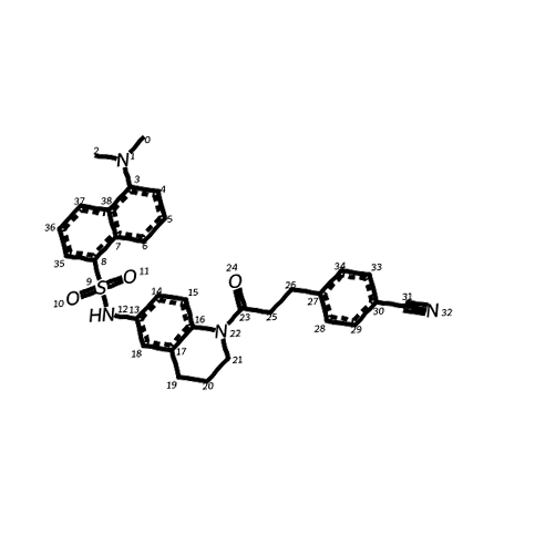 CN(C)c1cccc2c(S(=O)(=O)Nc3ccc4c(c3)CCCN4C(=O)CCc3ccc(C#N)cc3)cccc12